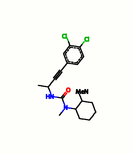 CNC1CCCCC1N(C)C(=O)NC(C)C#Cc1ccc(Cl)c(Cl)c1